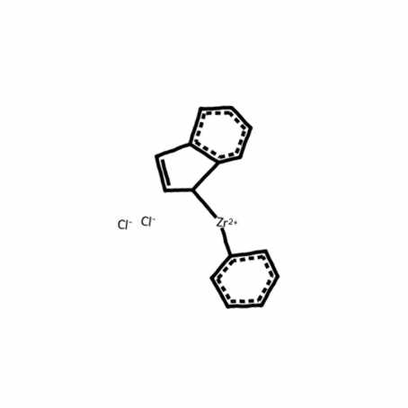 C1=C[CH]([Zr+2][c]2ccccc2)c2ccccc21.[Cl-].[Cl-]